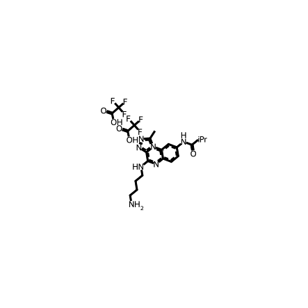 Cc1nnc2c(NCCCCN)nc3ccc(NC(=O)C(C)C)cc3n12.O=C(O)C(F)(F)F.O=C(O)C(F)(F)F